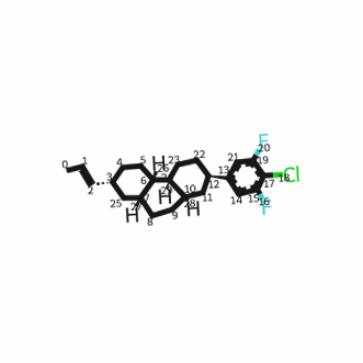 CC=C[C@@H]1CC[C@H]2[C@H](CC[C@H]3C[C@H](c4cc(F)c(Cl)c(F)c4)CC[C@@H]32)C1